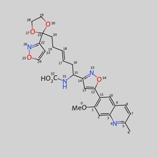 COc1cc2nc(C)ccc2cc1-c1cc(C(CC=CCCC2(c3ccon3)OCCO2)NC(=O)O)no1